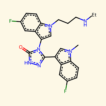 CCNCCCn1cc(-n2c(-c3cn(C)c4ccc(F)cc34)n[nH]c2=O)c2cc(F)ccc21